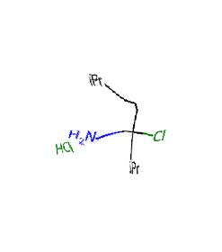 CC(C)CC(N)(Cl)C(C)C.Cl